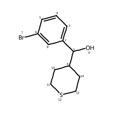 OC(c1cccc(Br)c1)C1CCSCC1